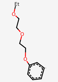 CCOCCOCCOc1c[c]ccc1